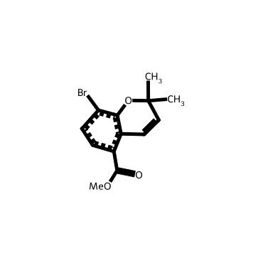 COC(=O)c1ccc(Br)c2c1C=CC(C)(C)O2